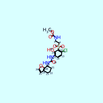 COC(=O)NCCS(=O)(=O)c1c(Cl)ccc(NC(=O)N[C@H]2CCCc3ccoc32)c1O